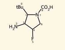 CC(C)(C)C1C(N)C(F)CN1C(=O)O